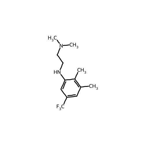 Cc1cc(C(F)(F)F)cc(NCCN(C)C)c1C